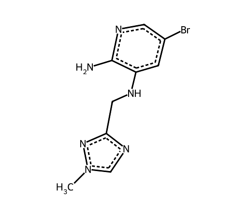 Cn1cnc(CNc2cc(Br)cnc2N)n1